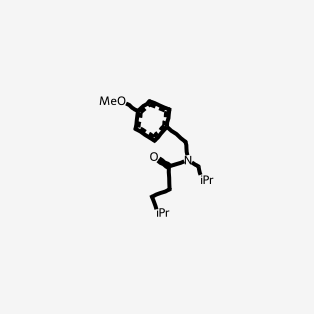 COc1ccc(CN(CC(C)C)C(=O)CCC(C)C)cc1